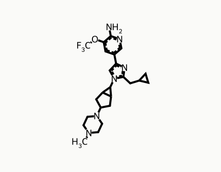 CN1CCN(C2CC3C(C2)C3n2cc(-c3cnc(N)c(OC(F)(F)F)c3)nc2CC2CC2)CC1